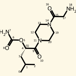 CC(C)C[C@H](OC(N)=O)C(=O)N1CCN(C(=O)CN)CC1